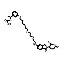 CC(NC(=O)O)c1cccc(OCCCCCCOCCOCCNc2ccc3c(c2)CN(C2CCC(=O)NC2=O)C3=O)c1